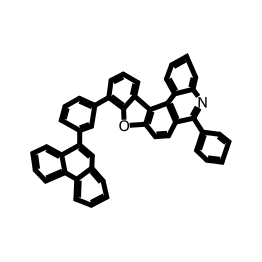 c1ccc(-c2nc3ccccc3c3c2ccc2oc4c(-c5cccc(-c6cc7ccccc7c7ccccc67)c5)cccc4c23)cc1